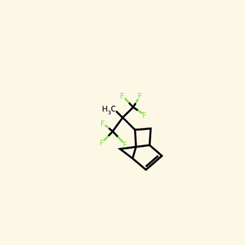 CC(C1CC2C=CC3CC231)(C(F)(F)F)C(F)(F)F